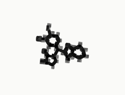 O=C1NCCN1[C@@H](c1ccc(F)c(Cl)c1)c1nc2ccccc2o1